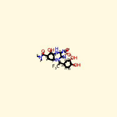 CN(C)C(=O)c1cccc(NC2=NS(=O)(=O)N=C2N[C@@H](c2ccc(O)c(O)c2)C(F)(F)F)c1O